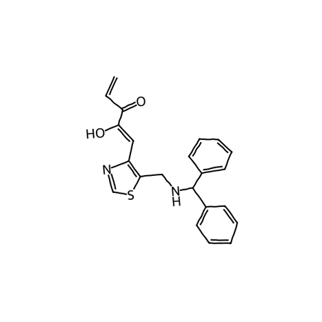 C=CC(=O)/C(O)=C/c1ncsc1CNC(c1ccccc1)c1ccccc1